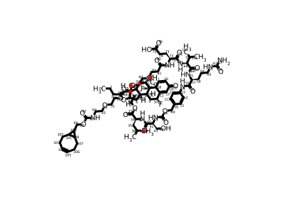 CCCC1O[C@@H]2C[C@H]3[C@@H]4C[C@H](F)C5=CC(=O)C=C[C@]5(C)[C@@]4(F)[C@@H](O)C[C@]3(C)[C@]2(C(=O)COC(=O)[C@H](CC(C)C)NC(=O)[C@H](CO)NC(=O)OCc2ccc(NC(=O)[C@H](CCCNC(N)=O)NC(=O)[C@@H](NC(=O)[C@H](CCC(=O)O)NC(=O)CCOCCOCCOCCOCCNC(=O)OCC3C4CCC#CCCC43)C(C)C)cc2)O1